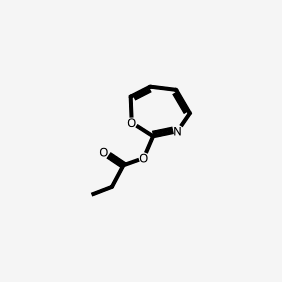 CCC(=O)OC1=NC=CC=CO1